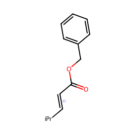 CC(C)/C=C/C(=O)OCc1ccccc1